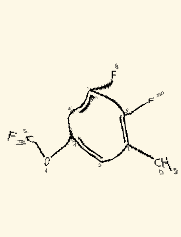 Cc1cc(OC(F)(F)F)cc(F)c1F